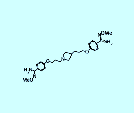 CON=C(N)c1ccc(OCCCC2CCN(CCCOc3ccc(C(N)=NOC)cc3)CC2)cc1